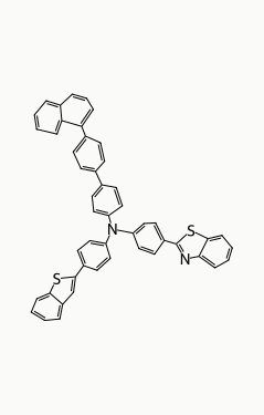 c1ccc2sc(-c3ccc(N(c4ccc(-c5ccc(-c6cccc7ccccc67)cc5)cc4)c4ccc(-c5nc6ccccc6s5)cc4)cc3)cc2c1